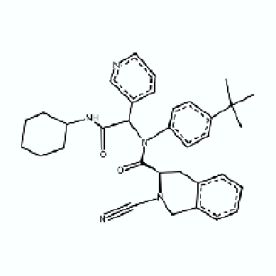 CC(C)(C)c1ccc(N(C(=O)[C@H]2Cc3ccccc3CN2C#N)C(C(=O)NC2CCCCC2)c2cccnc2)cc1